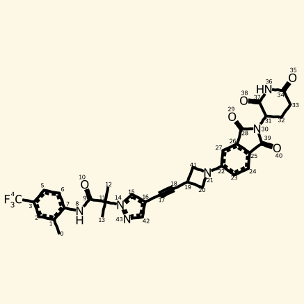 Cc1cc(C(F)(F)F)ccc1NC(=O)C(C)(C)n1cc(C#CC2CN(c3ccc4c(c3)C(=O)N(C3CCC(=O)NC3=O)C4=O)C2)cn1